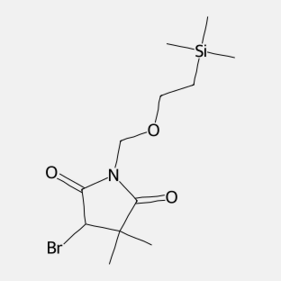 CC1(C)C(=O)N(COCC[Si](C)(C)C)C(=O)C1Br